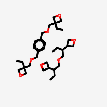 CCC(COCC(CC)C1COC1)C1COC1.CCC1(COCc2ccc(COCC3(CC)COC3)cc2)COC1